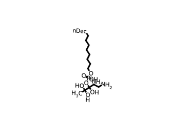 CCCCCCCCCCCCCCCCCCOP(=O)(O)OC(O)(C(N)CN)C(C)(O)O